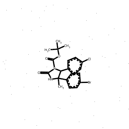 CC(C)(C)OC(=O)N1C(=O)NC(C)(c2ccc(Br)cc2)C1c1ccc(Cl)cc1